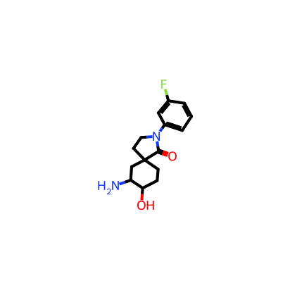 NC1CC2(CCC1O)CCN(c1cccc(F)c1)C2=O